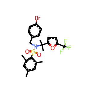 Cc1cc(C)c(S(=O)(=O)N(Cc2ccc(Br)cc2)C(C)(C)c2ccc(C(F)(F)F)o2)c(C)c1